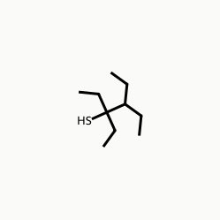 CCC(CC)C(S)(CC)CC